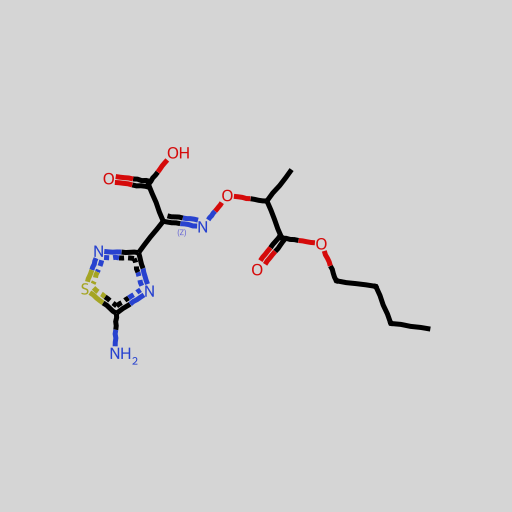 CCCCOC(=O)C(C)O/N=C(\C(=O)O)c1nsc(N)n1